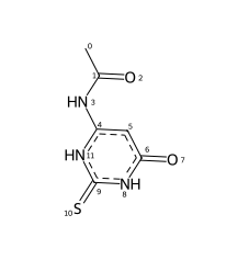 CC(=O)Nc1cc(=O)[nH]c(=S)[nH]1